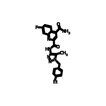 CCc1ccc(Cn2nnc(NC(=O)c3cc(C(N)=O)c4ccc(F)cc4n3)c2C)cc1